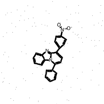 O=[N+]([O-])c1ccc(-c2ccc(-c3ccccc3)n3c2nc2ccccc23)cc1